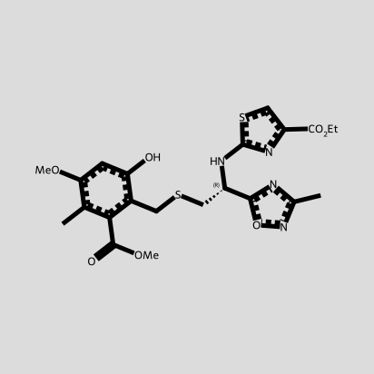 CCOC(=O)c1csc(N[C@@H](CSCc2c(O)cc(OC)c(C)c2C(=O)OC)c2nc(C)no2)n1